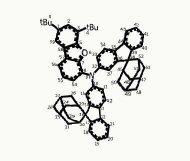 CC(C)(C)c1cc(C(C)(C)C)c2oc3c(N(c4ccc5c(c4)C4(c6ccccc6-5)C5CC6CC(C5)CC4C6)c4ccc5c(c4)C4(c6ccccc6-5)C5CC6CC(C5)CC4C6)cccc3c2c1